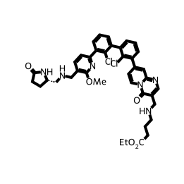 CCOC(=O)CCCNCc1cnc2cc(-c3cccc(-c4cccc(-c5ccc(CNC[C@@H]6CCC(=O)N6)c(OC)n5)c4Cl)c3Cl)ccn2c1=O